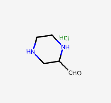 Cl.O=CC1CNCCN1